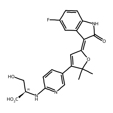 CC1(C)OC(=C2C(=O)Nc3ccc(F)cc32)C=C1c1ccc(N[C@H](CO)C(=O)O)nc1